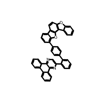 c1ccc(-c2cnc3c4ccccc4c4ccccc4c3n2)c(-c2ccc(-c3cccc4c3oc3c4ccc4oc5ccccc5c43)cc2)c1